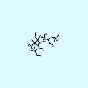 CCC(O[SiH](C)C(C)(C)C(C)(CC)O[Si](C)(C)C(CC)O[SiH](C)C)[SiH](C)C